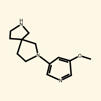 COc1cncc(N2CCC3(CCNC3)C2)c1